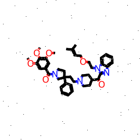 COc1cc(C(=O)N2CCC(CCN3CCC(C(=O)c4nc5ccccc5n4CCOCC=C(C)C)CC3)(c3ccccc3)C2)cc(OC)c1OC